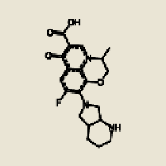 CC1COc2c(N3CC4CCCNC4C3)c(F)cc3c(=O)c(C(=O)O)cn1c23